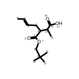 CC=CCC(C(=O)OCC(C)(C)C)C(C)C(=O)O